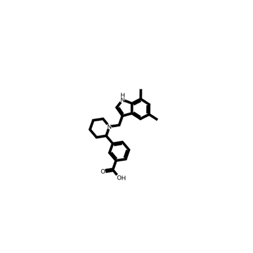 Cc1cc(C)c2[nH]cc(CN3CCCCC3c3cccc(C(=O)O)c3)c2c1